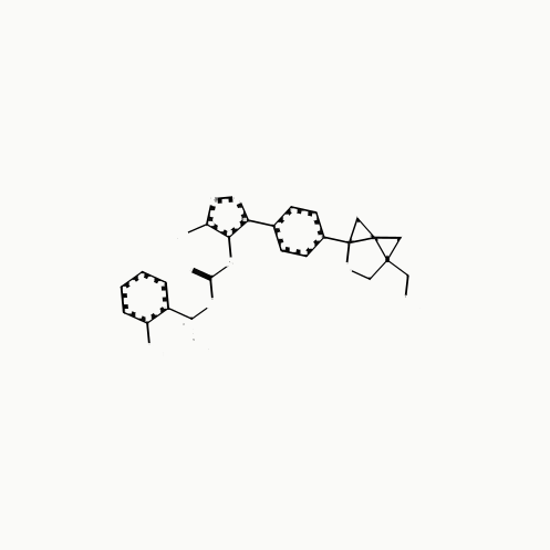 Cc1ccccc1[C@@H](C)OC(=O)Nc1c(C)noc1-c1ccc(C23CC24CC4(CC(=O)O)CO3)cc1